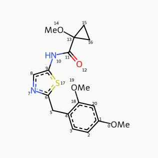 COc1ccc(Cc2ncc(NC(=O)C3(OC)CC3)s2)c(OC)c1